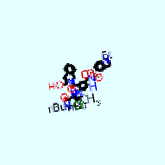 CCCCN(CCCC)C(=O)c1nn(-c2ccc(C(=O)NS(=O)(=O)c3ccc4c(c3)CCN4CC)cc2C(=O)N2Cc3ccccc3CC2CO)c(C)c1Cl